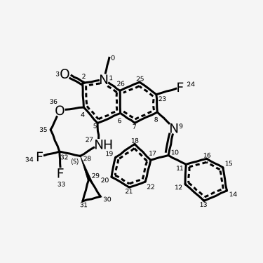 Cn1c(=O)c2c(c3cc(N=C(c4ccccc4)c4ccccc4)c(F)cc31)N[C@@H](C1CC1)C(F)(F)CO2